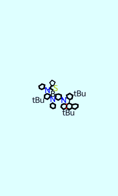 CC(C)(C)c1ccc(N(c2ccc3c(c2)N(c2ccccc2)c2cc(C(C)(C)C)cc4c2B3c2sc3c(c2N4c2ccccc2)CCC3)c2ccc(C(C)(C)C)cc2-c2cccc3ccccc23)cc1